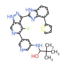 CC(C)(C)C(O)Nc1cncc(-c2ncc3[nH]nc(-c4nc5c(-c6cccs6)cccc5[nH]4)c3c2F)c1